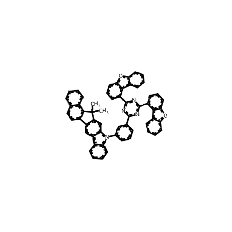 CC1(C)c2cc3c(cc2-c2ccc4ccccc4c21)c1ccccc1n3-c1cccc(-c2nc(-c3cccc4oc5ccccc5c34)nc(-c3cccc4oc5ccccc5c34)n2)c1